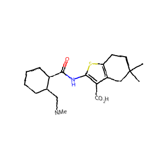 CNCC1CCCCC1C(=O)Nc1sc2c(c1C(=O)O)CC(C)(C)CC2